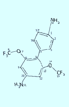 Nc1ccc(-c2c(OC(F)(F)F)cc(N)cc2OC(F)(F)F)cc1